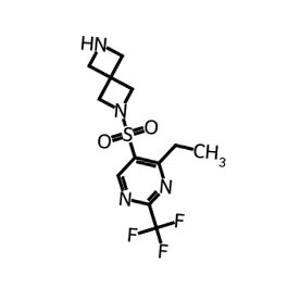 CCc1nc(C(F)(F)F)ncc1S(=O)(=O)N1CC2(CNC2)C1